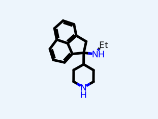 CCNC1(C2CCNCC2)Cc2cccc3cccc1c23